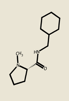 CN1CCC[C@H]1C(=O)NCC1CCCCC1